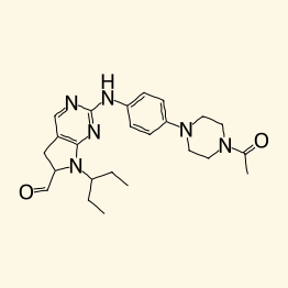 CCC(CC)N1c2nc(Nc3ccc(N4CCN(C(C)=O)CC4)cc3)ncc2CC1C=O